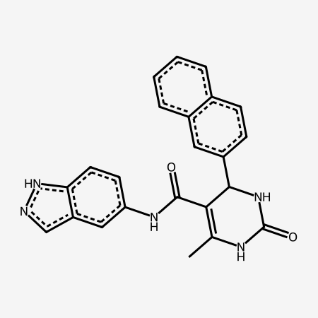 CC1=C(C(=O)Nc2ccc3[nH]ncc3c2)C(c2ccc3ccccc3c2)NC(=O)N1